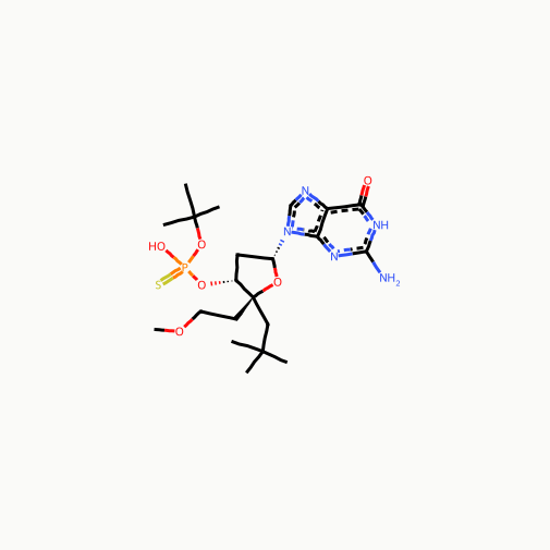 COCC[C@]1(CC(C)(C)C)O[C@@H](n2cnc3c(=O)[nH]c(N)nc32)C[C@H]1OP(O)(=S)OC(C)(C)C